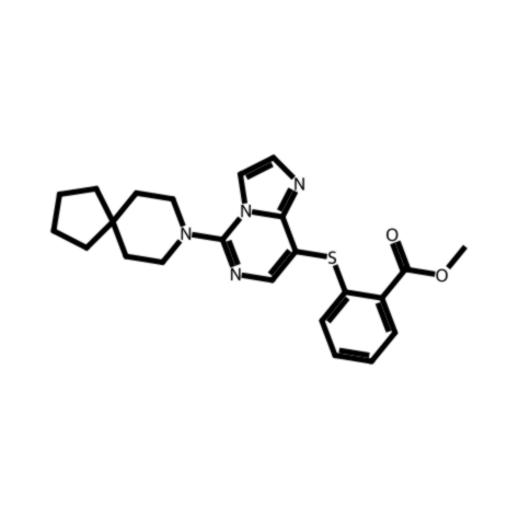 COC(=O)c1ccccc1Sc1cnc(N2CCC3(CCCC3)CC2)n2ccnc12